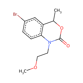 COCCN1C(=O)OC(C)c2cc(Br)ccc21